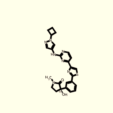 CN1CC[C@@](O)(c2cccc(-c3nc(-c4ccnc(Nc5cnn(C6CCC6)c5)n4)cs3)c2)C1=O